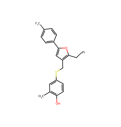 Cc1cc(SCc2cc(-c3ccc(C(F)(F)F)cc3)oc2CC(C)C)ccc1O